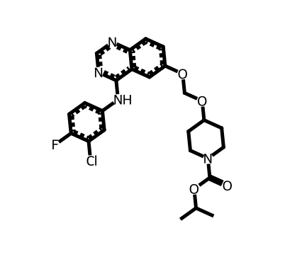 CC(C)OC(=O)N1CCC(OCOc2ccc3ncnc(Nc4ccc(F)c(Cl)c4)c3c2)CC1